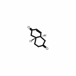 O=C1C=C[C@H]2CC(=O)CC[C@@H]2C1